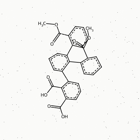 COC(=O)c1ccccc1-c1cccc(-c2cccc(C(=O)O)c2C(=O)O)c1-c1ccccc1C(=O)OC